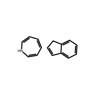 C1=CC=CNC=C1.C1=Cc2ccccc2C1